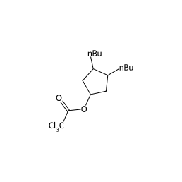 CCCCC1CC(OC(=O)C(Cl)(Cl)Cl)CC1CCCC